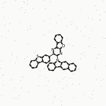 c1ccc2cc3c(cc2c1)c1ccccc1n3-c1nc2oc3ccccc3c2nc1-c1ccc2c(c1)sc1ccccc12